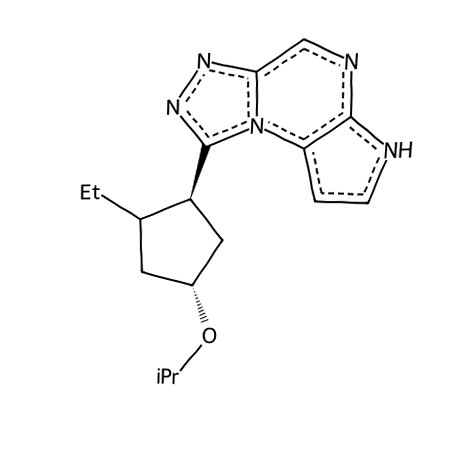 CCC1C[C@@H](OC(C)C)C[C@@H]1c1nnc2cnc3[nH]ccc3n12